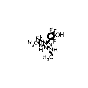 CCCNc1nc(N[C@H](C)C(F)(F)F)nc(C2=C(F)C(O)C(F)(F)CC2)n1